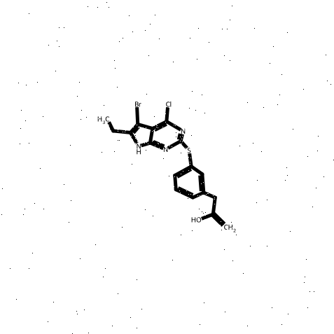 C=C(O)Cc1cccc(Sc2nc(Cl)c3c(Br)c(CC)[nH]c3n2)c1